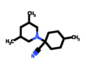 CC1CCC(C#N)(N2CC(C)CC(C)C2)CC1